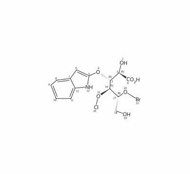 O=C(O)[C@H](O)[C@@H](Oc1cc2ccccc2[nH]1)[C@H](OCl)[C@@H](CO)OBr